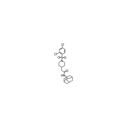 O=C(CC1CCN(S(=O)(=O)c2ccc(Cl)cc2Cl)CC1)NC12CC3CC(CC(C3)C1)C2